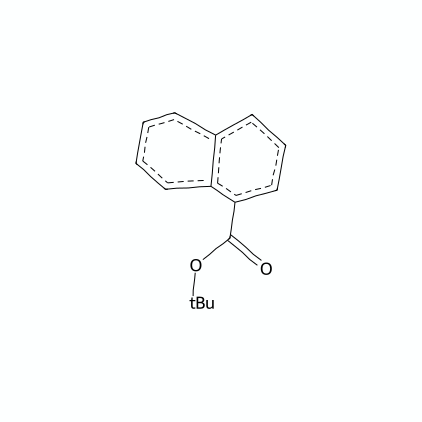 CC(C)(C)OC(=O)c1cccc2ccccc12